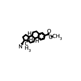 COC(=O)c1ccc2c(c1)CC[C@@H]1[C@@H]2CC[C@]2(C)C(C#N)CC[C@@H]12